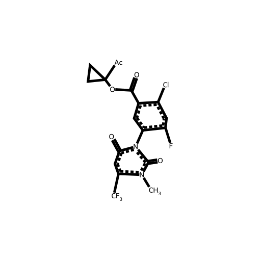 CC(=O)C1(OC(=O)c2cc(-n3c(=O)cc(C(F)(F)F)n(C)c3=O)c(F)cc2Cl)CC1